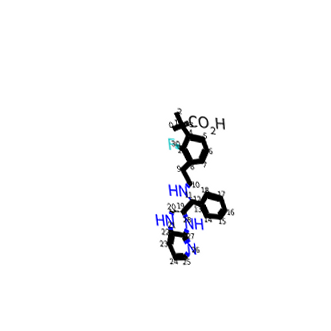 CC(C)(C(=O)O)c1cccc(CCN[C@H](c2ccccc2)[C@H]2CNc3cccnc3N2)c1F